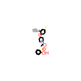 CC(C)(C)C1=CC(F)=CCC1OC1CCN(C(=O)C[S+]([O-])c2ccccc2O)CC1